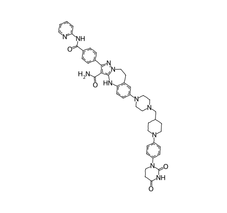 NC(=O)c1c(-c2ccc(C(=O)Nc3ccccn3)cc2)nn2c1Nc1ccc(N3CCN(CC4CCN(c5ccc(N6CCC(=O)NC6=O)cc5)CC4)CC3)cc1CC2